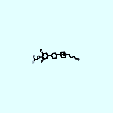 FCCCC[SiH]1CCC(C2CCC(c3cc(F)c(OCC(F)F)c(F)c3)CC2)CC1